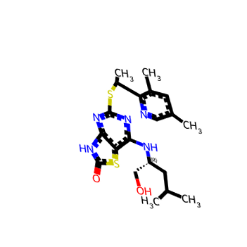 Cc1cnc(C(C)Sc2nc(N[C@@H](CO)CC(C)C)c3sc(=O)[nH]c3n2)c(C)c1